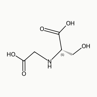 O=C(O)CN[C@@H](CO)C(=O)O